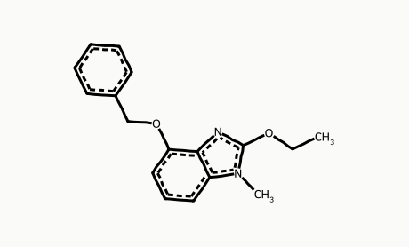 CCOc1nc2c(OCc3ccccc3)cccc2n1C